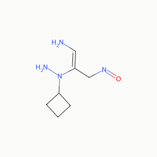 N/C=C(/CN=O)N(N)C1CCC1